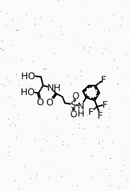 O=C(CCS(=O)(=O)Nc1ccc(F)cc1C(F)(F)F)NC(CO)C(=O)O